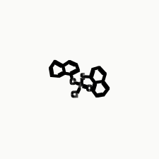 O=P(Cl)(Oc1cccc2ccccc12)Sc1cccc2ccccc12